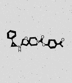 CC(=O)c1ccc(OC(=O)N2CCC3(CC2)CC(N[C@@H]2C[C@H]2c2ccccc2)CO3)cc1